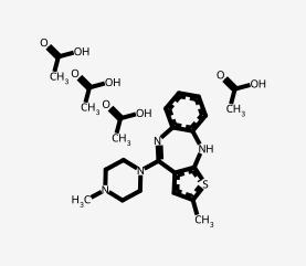 CC(=O)O.CC(=O)O.CC(=O)O.CC(=O)O.Cc1cc2c(s1)Nc1ccccc1N=C2N1CCN(C)CC1